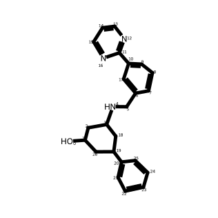 OC1CC(NCc2cccc(-c3ncccn3)c2)CC(c2ccccc2)C1